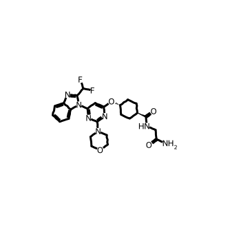 NC(=O)CNC(=O)[C@H]1CC[C@H](Oc2cc(-n3c(C(F)F)nc4ccccc43)nc(N3CCOCC3)n2)CC1